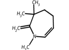 C=C1N(C)C=CCCC1(C)C